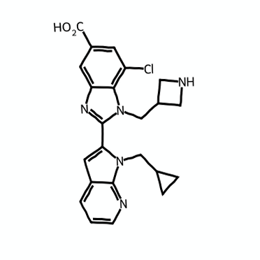 O=C(O)c1cc(Cl)c2c(c1)nc(-c1cc3cccnc3n1CC1CC1)n2CC1CNC1